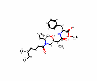 CCCN(C[C@H](OC)[C@@H](C)C(=O)N[C@@H](Cc1ccccc1)C(=O)OC)C(=O)CCC[C@@H](C)CC